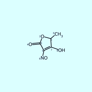 CC1OC(=O)C(N=O)=C1O